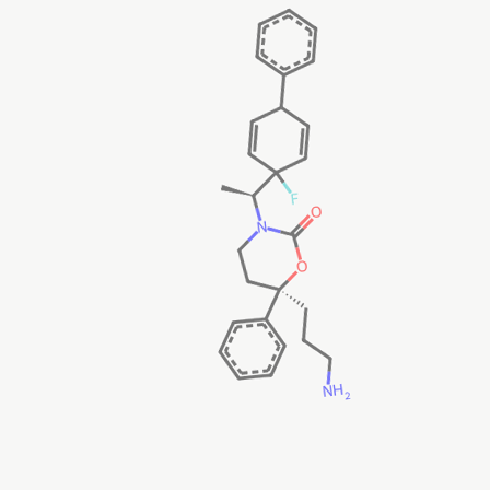 C[C@H](N1CC[C@](CCCN)(c2ccccc2)OC1=O)C1(F)C=CC(c2ccccc2)C=C1